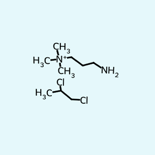 CC(Cl)CCl.C[N+](C)(C)CCCN